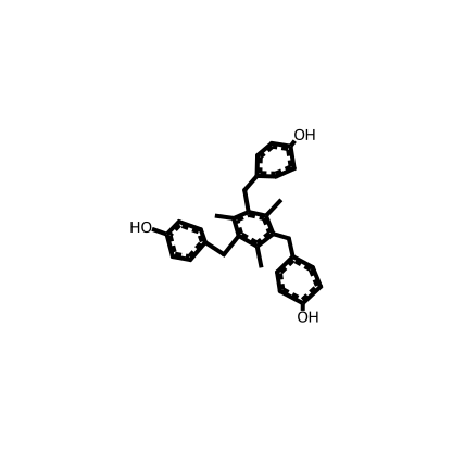 Cc1c(Cc2ccc(O)cc2)c(C)c(Cc2ccc(O)cc2)c(C)c1Cc1ccc(O)cc1